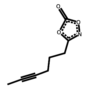 CC#CCCCc1noc(=O)o1